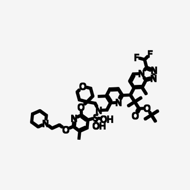 Cc1ccc(C(c2ccn3c(C(F)F)nnc3c2C)C(C)(C)C(=O)OC(C)(C)C)nc1CN1CC2(CCOCC2)Oc2nc(OCCN3CCCCC3)c(C)cc2S1(O)O